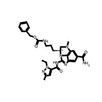 CCn1nc(C)cc1C(=O)Nc1nc2cc(C(N)=O)cc3c2n1[C@@H](CCCNC(=O)OCc1ccccc1)CN3C